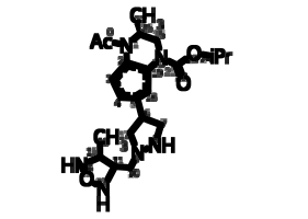 CC(=O)N1c2ccc(C3CNN(CC4NONC4C)C3)cc2N(C(=O)OC(C)C)C[C@@H]1C